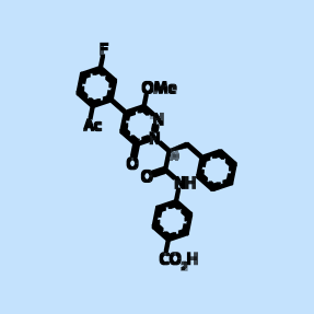 COc1nn([C@@H](Cc2ccccc2)C(=O)Nc2ccc(C(=O)O)cc2)c(=O)cc1-c1cc(F)ccc1C(C)=O